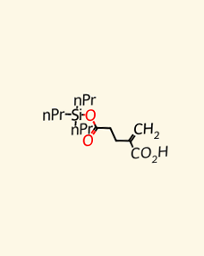 C=C(CCC(=O)O[Si](CCC)(CCC)CCC)C(=O)O